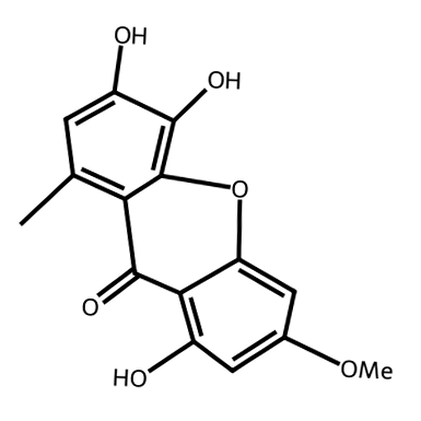 COc1cc(O)c2c(=O)c3c(C)cc(O)c(O)c3oc2c1